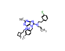 C=CCN(CCc1cccc(F)c1)c1nc2nc(C#N)nc(NCCC3CCC3)c2n1Cc1ccc(C(F)(F)F)cc1